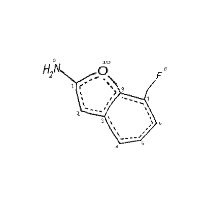 Nc1cc2cccc(F)c2o1